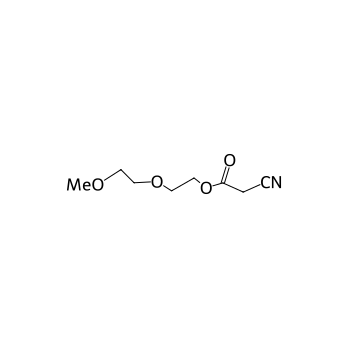 COCCOCCOC(=O)CC#N